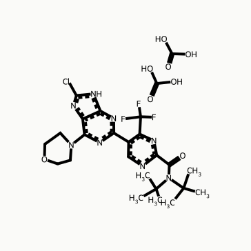 CC(C)(C)N(C(=O)c1ncc(-c2nc(N3CCOCC3)c3nc(Cl)[nH]c3n2)c(C(F)(F)F)n1)C(C)(C)C.O=C(O)O.O=C(O)O